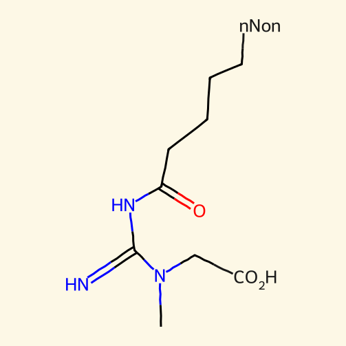 CCCCCCCCCCCCCC(=O)NC(=N)N(C)CC(=O)O